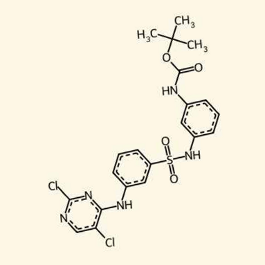 CC(C)(C)OC(=O)Nc1cccc(NS(=O)(=O)c2cccc(Nc3nc(Cl)ncc3Cl)c2)c1